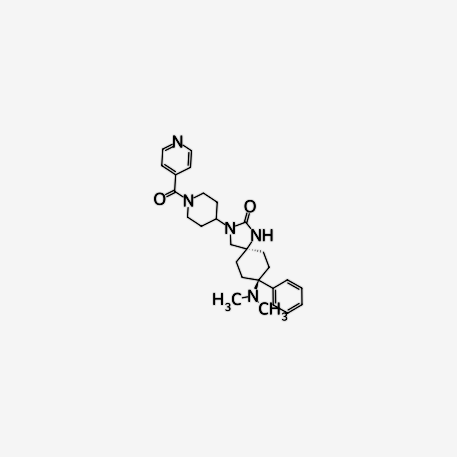 CN(C)[C@]1(c2ccccc2)CC[C@]2(CC1)CN(C1CCN(C(=O)c3ccncc3)CC1)C(=O)N2